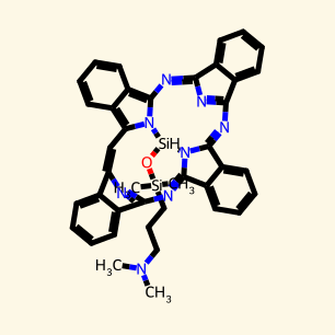 CN(C)CCC[Si](C)(C)O[SiH]1n2c3c4ccccc4c2/N=C2N=C(/N=c4/c5ccccc5/c(n41)=N/C1=NC(=C\3)/c3ccccc31)c1ccccc1\2